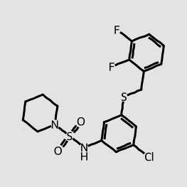 O=S(=O)(Nc1cc(Cl)cc(SCc2cccc(F)c2F)c1)N1CCCCC1